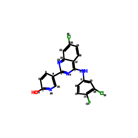 Oc1ccc(-c2nc(Nc3ccc(F)c(Cl)c3)c3ccc(Cl)cc3n2)cn1